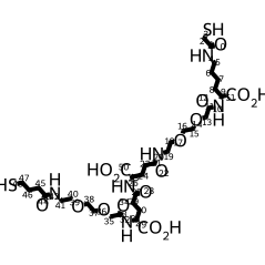 O=C(CS)NCCCCC(NC(=O)COCCOCCNC(=O)CCC(NC(=O)CCC(NC(=O)COCCOCCNC(=O)CCCS)C(=O)O)C(=O)O)C(=O)O